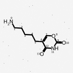 NCCCCCc1coc(=O)[nH]c1=O